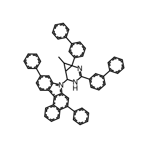 CC1C2C(n3c4cc(-c5ccccc5)ccc4c4c5ccccc5c(-c5ccccc5)cc43)NC(c3cccc(-c4ccccc4)c3)=NC12c1cccc(-c2ccccc2)c1